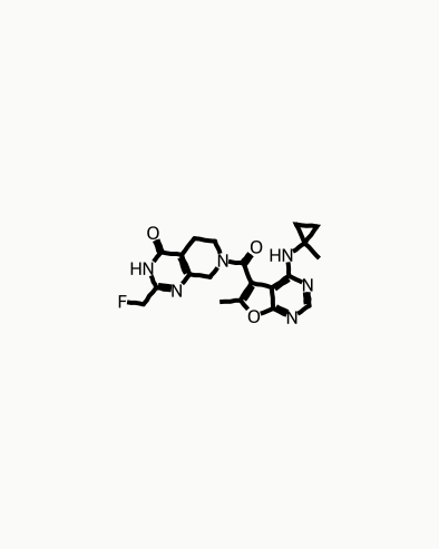 Cc1oc2ncnc(NC3(C)CC3)c2c1C(=O)N1CCc2c(nc(CF)[nH]c2=O)C1